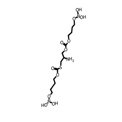 NC(COC(=O)OCCCCON(O)O)CSC(=O)OCCCCON(O)O